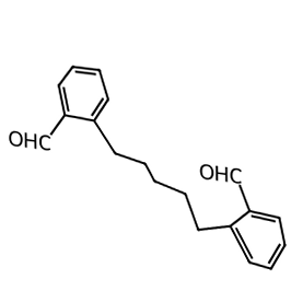 O=Cc1ccccc1CCCCCc1ccccc1C=O